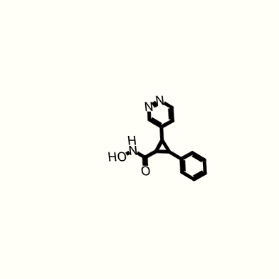 O=C(NO)C1C(c2ccccc2)C1c1ccnnc1